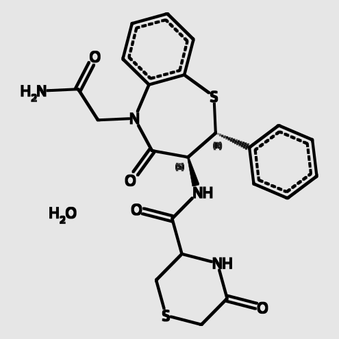 NC(=O)CN1C(=O)[C@H](NC(=O)C2CSCC(=O)N2)[C@@H](c2ccccc2)Sc2ccccc21.O